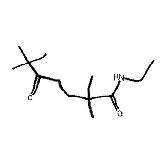 CCNC(=O)C(C)(C)CCC(=O)C(C)(C)C